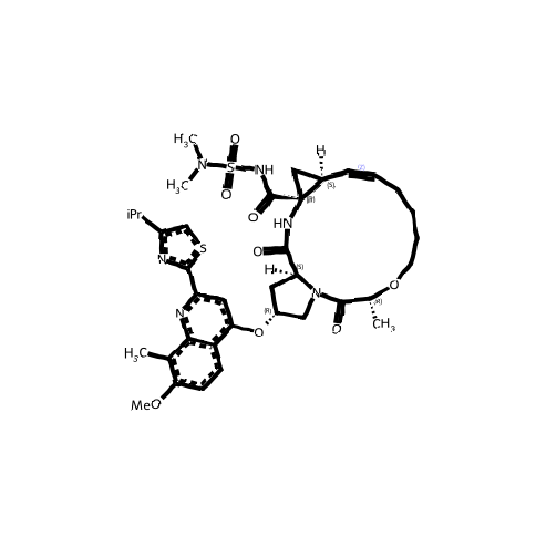 COc1ccc2c(O[C@@H]3C[C@H]4C(=O)N[C@]5(C(=O)NS(=O)(=O)N(C)C)C[C@H]5/C=C\CCCCO[C@H](C)C(=O)N4C3)cc(-c3nc(C(C)C)cs3)nc2c1C